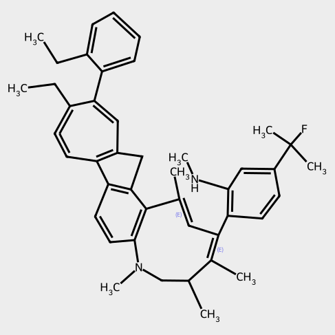 CCC1=C=CC2=C(C=C1c1ccccc1CC)Cc1c2ccc2c1/C(C)=C/C(c1ccc(C(C)(C)F)cc1NC)=C(/C)C(C)CN2C